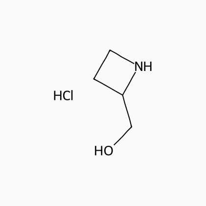 Cl.OCC1CCN1